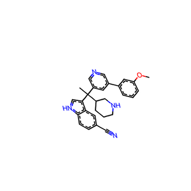 COc1cccc(-c2cncc(C(C)(c3c[nH]c4ccc(C#N)cc34)C3CCCNC3)c2)c1